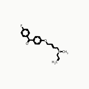 C=CCN(C)CC=CCOc1ccc(C(=O)c2ccc(F)cc2)cc1